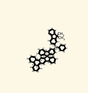 CC1(C)c2ccccc2-c2ccc(N(c3ccccc3)c3ccc4c(c3)-c3ccccc3C43c4ccccc4-c4cc5c6ccccc6c6ccccc6c5cc43)cc21